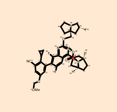 COCOc1cc(C#N)c(C2CC2)c(-c2c(F)cc3c(N4C[C@H]5CC[C@@H](C4)N5C(=O)OC(C)(C)C)nc(OC[C@@]45CCCN4C[C@H](F)C5)nc3c2F)c1